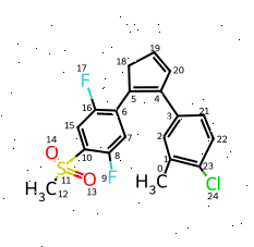 Cc1cc(C2=C(c3cc(F)c(S(C)(=O)=O)cc3F)CC=C2)ccc1Cl